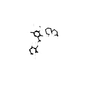 CCN(c1cc(Cl)cc(C(=O)NCc2c(C)cc(C)[nH]c2=O)c1C)[C@H]1CC[C@]2(CCC(=O)N2)CC1